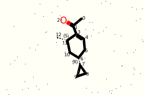 CC(=O)C1=CC[C@H](C2CC2)C[C@@H]1C